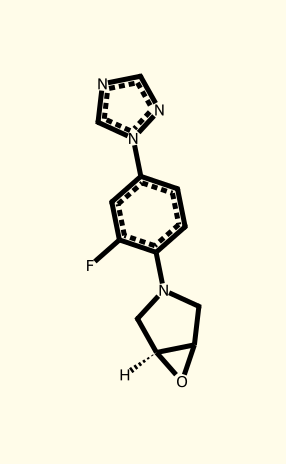 Fc1cc(-n2cncn2)ccc1N1CC2O[C@H]2C1